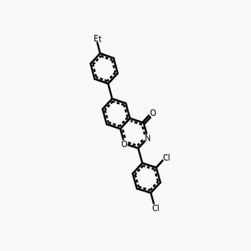 CCc1ccc(-c2ccc3oc(-c4ccc(Cl)cc4Cl)nc(=O)c3c2)cc1